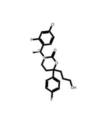 C[C@@H](c1ccc(Cl)cc1F)N1CCC(CCCO)(c2ccc(F)cc2)OC1=O